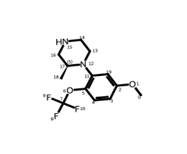 COc1ccc(OC(F)(F)F)c(N2CCNC[C@@H]2C)c1